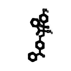 Cc1ccc(S(=O)(=O)C(C)(CSc2ccc(C(=O)c3ccccc3)cc2)C(=O)c2ccccc2)cc1